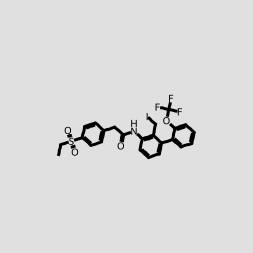 CCS(=O)(=O)c1ccc(CC(=O)Nc2cccc(-c3ccccc3OC(F)(F)F)c2CI)cc1